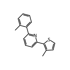 Cc1ccccc1-c1cccc(-c2sccc2C)n1